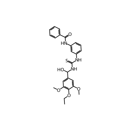 CCOc1c(OC)cc(C(O)NC(=S)Nc2cccc(NC(=O)c3ccccc3)c2)cc1OC